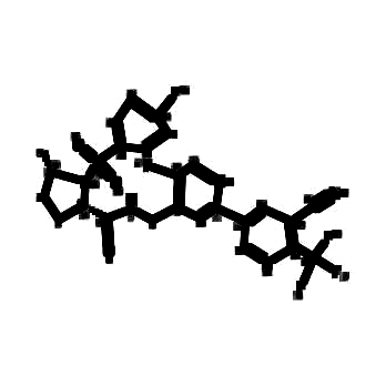 C[C@H]1CC[C@@H](C(=O)NCc2cc(-c3cnc(C(F)(F)F)c(C#N)c3)ncc2F)N1S(=O)(=O)c1ccc(F)cc1